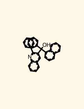 OC(c1ccccc1)(c1cc2ccccc2nc1-c1ccccc1)c1cccc2ccccc12